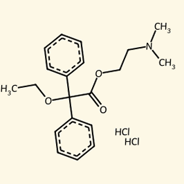 CCOC(C(=O)OCCN(C)C)(c1ccccc1)c1ccccc1.Cl.Cl